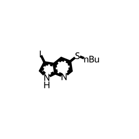 CCCCSc1cnc2[nH]cc(I)c2c1